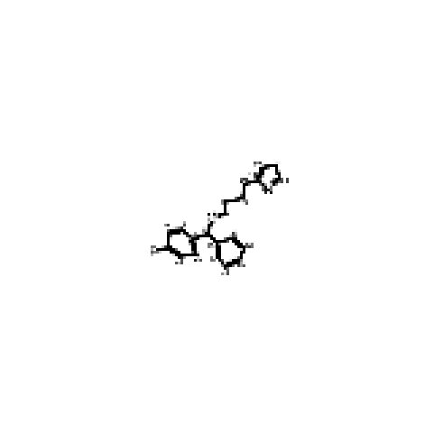 Fc1ccc(C(OCCCCC2=CCC=N2)c2ccccc2)cc1